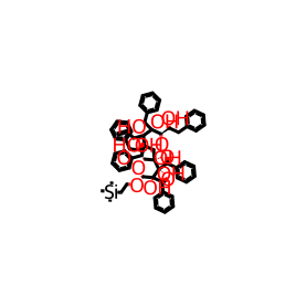 C=CC[C@]1(O)[C@](O)(Cc2ccccc2)[C@@H](C(O)Cc2ccccc2)O[C@@H]([C@]2(O)[C@@H](C(O)C(=O)c3ccccc3)O[C@H](OCC[Si](C)(C)C)[C@@](O)(C(=O)c3ccccc3)[C@]2(O)C(=O)c2ccccc2)[C@@]1(O)Cc1ccccc1